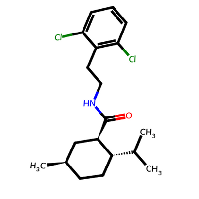 CC(C)[C@@H]1CC[C@@H](C)C[C@H]1C(=O)NCCc1c(Cl)cccc1Cl